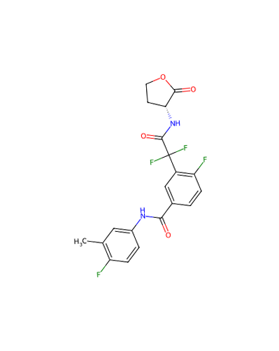 Cc1cc(NC(=O)c2ccc(F)c(C(F)(F)C(=O)N[C@@H]3CCOC3=O)c2)ccc1F